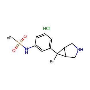 CCCS(=O)(=O)Nc1cccc(C2(CC)C3CNCC32)c1.Cl